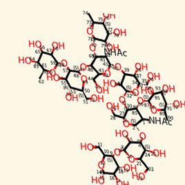 CC(=O)NC1[C@H](O[C@@H]2C(O)[C@H](O[C@@H]3C(CO)O[C@@H](O)C(O)[C@H]3O)OC(CO)[C@@H]2O)OC(CO)[C@@H](O[C@@H]2O[C@@H](CO)[C@H](O)C(O[C@@H]3OC(CO)[C@@H](O[C@@H]4O[C@@H](CO)[C@H](O)C(O)C4O[C@@H]4O[C@@H](C)[C@@H](O)C(O)C4O)[C@H](O[C@@H]4OC(C)[C@@H](O)[C@H](O)C4O)C3NC(C)=O)C2O)[C@@H]1O[C@@H]1OC(C)[C@@H](O)[C@H](O)C1O